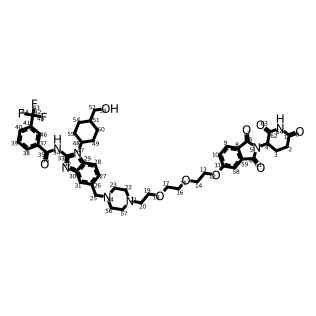 O=C1CCC(N2C(=O)c3ccc(OCCOCCOCCN4CCN(Cc5ccc6c(c5)nc(NC(=O)c5cccc(C(F)(F)F)c5)n6C5CCC(CO)CC5)CC4)cc3C2=O)C(=O)N1